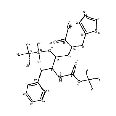 CC(C)(C)OC(=O)NC(Cc1ccccc1)C(CC(Cc1cncs1)C(=O)O)O[Si](C)(C)C(C)(C)C